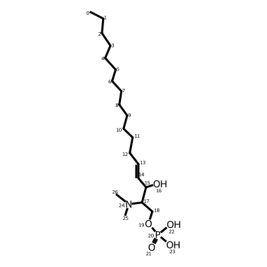 CCCCCCCCCCCCCC=CC(O)C(COP(=O)(O)O)N(C)C